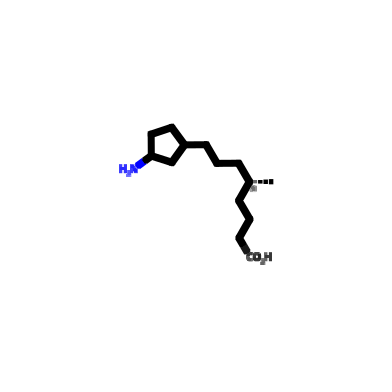 C[C@H](CCCC(=O)O)CCCC1CCC(N)C1